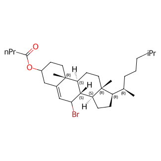 CCCC(=O)OC1CC[C@@]2(C)C(=CC(Br)[C@H]3[C@@H]4CC[C@H]([C@H](C)CCCC(C)C)[C@@]4(C)CC[C@@H]32)C1